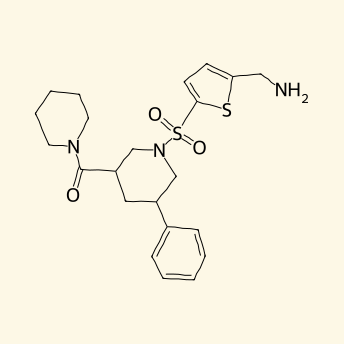 NCc1ccc(S(=O)(=O)N2CC(C(=O)N3CCCCC3)CC(c3ccccc3)C2)s1